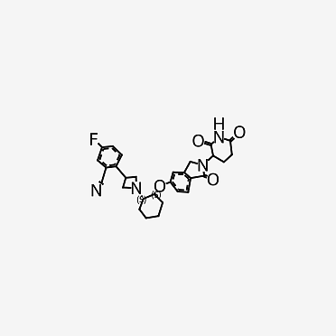 N#Cc1cc(F)ccc1C1CN([C@H]2CCCC[C@@H]2Oc2ccc3c(c2)CN(C2CCC(=O)NC2=O)C3=O)C1